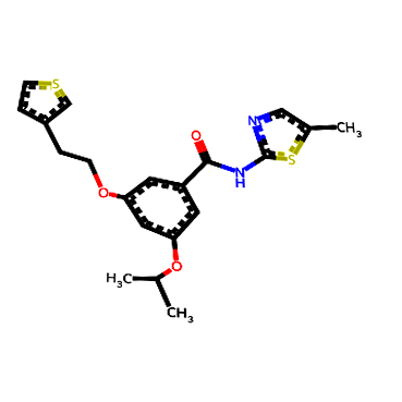 Cc1cnc(NC(=O)c2cc(OCCc3ccsc3)cc(OC(C)C)c2)s1